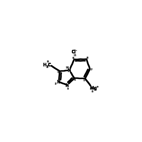 Cc1nnc2[c]([Mg+])cccn12.[Cl-]